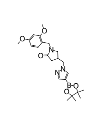 COc1ccc(CN2CC(Cn3cc(B4OC(C)(C)C(C)(C)O4)cn3)CC2=O)c(OC)c1